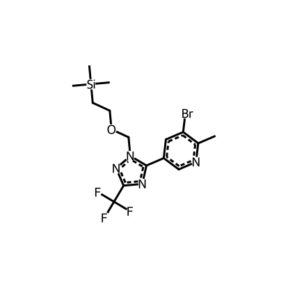 Cc1ncc(-c2nc(C(F)(F)F)nn2COCC[Si](C)(C)C)cc1Br